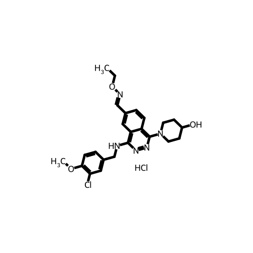 CCON=Cc1ccc2c(N3CCC(O)CC3)nnc(NCc3ccc(OC)c(Cl)c3)c2c1.Cl